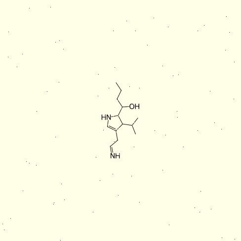 CCCC(O)C1NC=C(CC=N)C1C(C)C